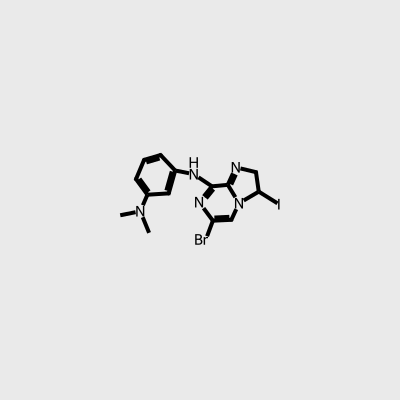 CN(C)c1cccc(NC2=NC(Br)=CN3C2=NCC3I)c1